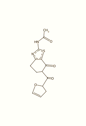 CC(=O)Nc1nc2c(s1)C(=O)C(C(=O)C1CC=CO1)CC2